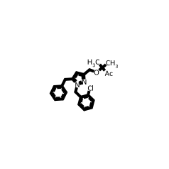 CC(=O)C(C)(C)OCc1cc(Cc2ccccc2)n(Cc2ccccc2Cl)n1